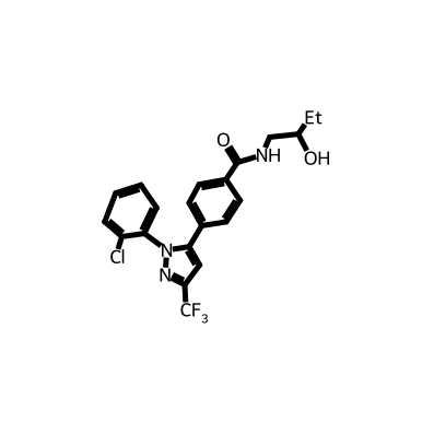 CCC(O)CNC(=O)c1ccc(-c2cc(C(F)(F)F)nn2-c2ccccc2Cl)cc1